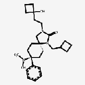 CN(C)[C@]1(c2ccccc2)CC[C@]2(CC1)CN(CCC1(O)CCC1)C(=O)N2CC1CCC1